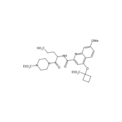 CCOC(=O)N1CCN(C(=O)C(CCC(=O)O)NC(=O)c2cc(OC3(C(=O)OCC)CCC3)c3ccc(OC)cc3n2)CC1